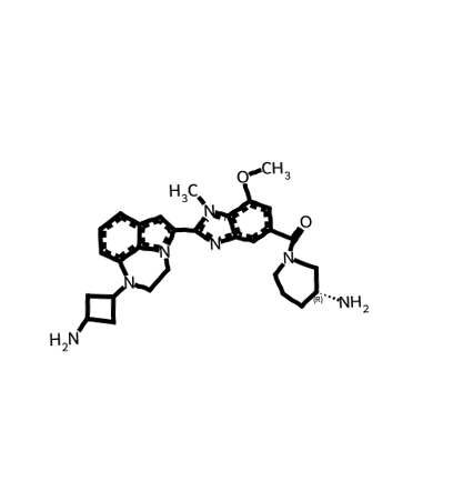 COc1cc(C(=O)N2CCC[C@@H](N)C2)cc2nc(-c3cc4cccc5c4n3CCN5C3CC(N)C3)n(C)c12